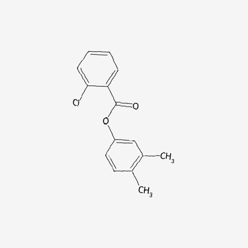 Cc1ccc(OC(=O)c2ccccc2Cl)cc1C